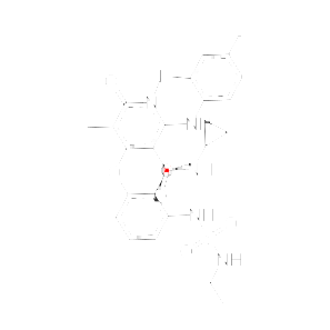 CCNS(=O)(=O)Nc1cccc(Oc2c(C(=O)NC3CC3)c(Nc3ccc(I)cc3F)n(C)c(=O)c2C)c1OC